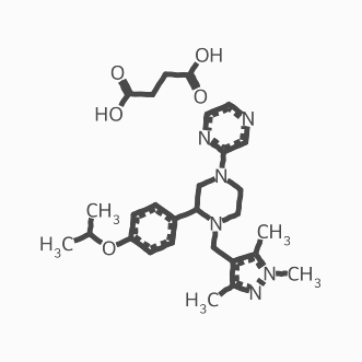 Cc1nn(C)c(C)c1CN1CCN(c2cnccn2)CC1c1ccc(OC(C)C)cc1.O=C(O)CCC(=O)O